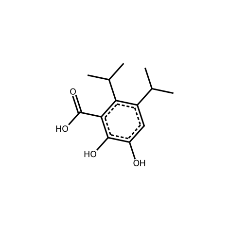 CC(C)c1cc(O)c(O)c(C(=O)O)c1C(C)C